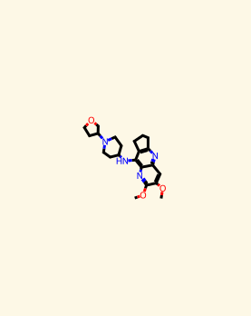 COc1cc2nc3c(c(NC4CCN(C5CCOC5)CC4)c2nc1OC)CCC3